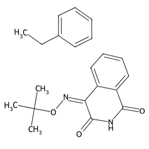 CC(C)(C)ON=C1C(=O)NC(=O)c2ccccc21.CCc1ccccc1